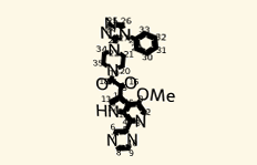 COc1cnc(-c2cnccn2)c2[nH]cc(C(=O)C(=O)N3CCN(c4nncn4-c4ccccc4)CC3)c12